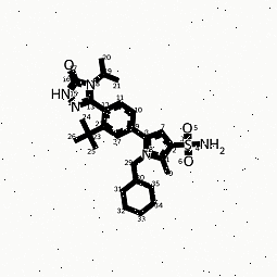 Cc1c(S(N)(=O)=O)cc(-c2ccc(-c3n[nH]c(=O)n3C(C)C)c(C(C)(C)C)c2)n1CC1CCCCC1